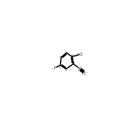 [C-]#[N+]c1cc(F)ccc1Cl